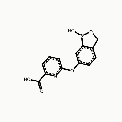 O=C(O)c1cccc(Oc2ccc3c(c2)B(O)OC3)n1